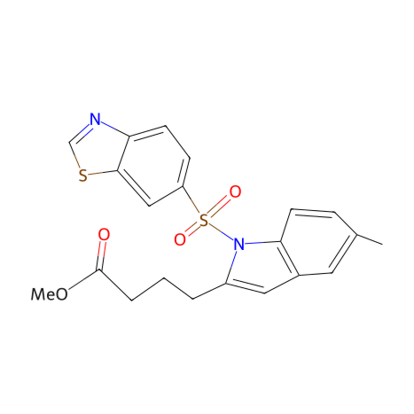 COC(=O)CCCc1cc2cc(C)ccc2n1S(=O)(=O)c1ccc2ncsc2c1